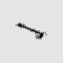 Nc1nc(=O)n([C@@H]2O[C@H](CO)[C@H](O)[C@@H]2O)cc1CCCNC(=O)CCSSCCNC(=O)CCOCCOCCOCCOCCNC(=O)CCCC[C@@H]1SC[C@@H]2NC(=O)N[C@@H]21